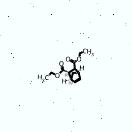 CCOC(=O)C1[C@H]2C=C[C@H](C2)[C@H]1C(=O)OCC